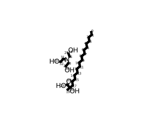 CCCCCCCCCCCCCCCCCCC(C)(O)C(=O)O.OCCN(CCO)CCO